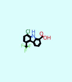 O=C(O)c1cccc2c1[nH]c1c(Cl)ccc(C(F)(F)F)c12